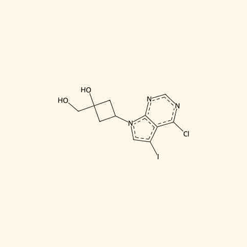 OCC1(O)CC(n2cc(I)c3c(Cl)ncnc32)C1